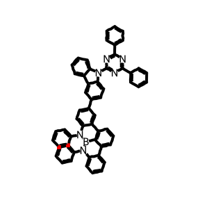 c1ccc(-c2nc(-c3ccccc3)nc(-n3c4ccccc4c4cc(-c5ccc6c(c5)-c5cccc7c5B(N(c5ccccc5)c5ccccc5-7)N6c5ccccc5)ccc43)n2)cc1